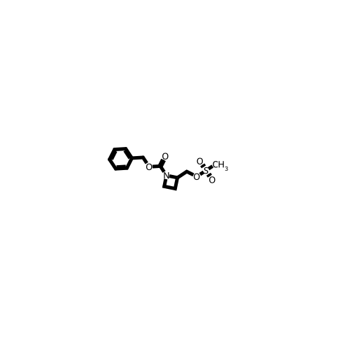 CS(=O)(=O)OCC1CCN1C(=O)OCc1ccccc1